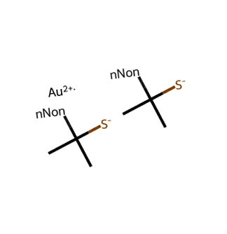 CCCCCCCCCC(C)(C)[S-].CCCCCCCCCC(C)(C)[S-].[Au+2]